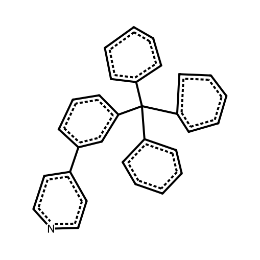 c1ccc(C(c2ccccc2)(c2ccccc2)c2cccc(-c3ccncc3)c2)cc1